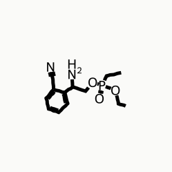 CCOP(=O)(CC)OCC(N)c1ccccc1C#N